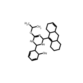 CC(C)OC1=NC(C2=C3CCCCC3CC3C=CCCC23)NC(C2C=CC=CC2O)N1